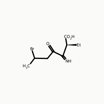 CC[C@@H](C(=N)C(=O)CC(C)Br)C(=O)O